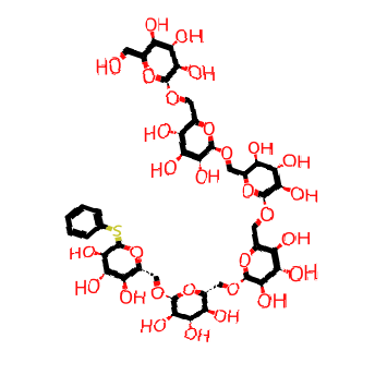 OCC1O[C@@H](OCC2O[C@@H](OCC3O[C@@H](OCC4O[C@@H](OC[C@H]5O[C@@H](OC[C@H]6OC(Sc7ccccc7)[C@H](O)[C@@H](O)[C@@H]6O)[C@H](O)[C@@H](O)[C@@H]5O)[C@H](O)[C@@H](O)[C@@H]4O)[C@H](O)[C@@H](O)[C@@H]3O)[C@H](O)[C@@H](O)[C@@H]2O)[C@H](O)[C@@H](O)[C@@H]1O